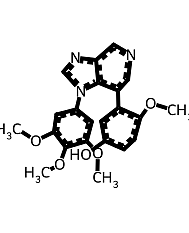 COc1ccc(O)cc1-c1cncc2ncn(-c3cc(OC)c(OC)c(OC)c3)c12